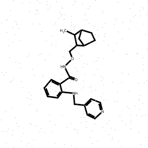 CC1C2CCC(C2)C1CONC(=O)c1ccccc1NCc1ccncc1